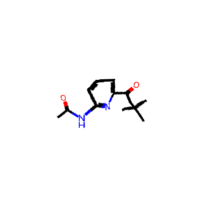 CC(=O)Nc1cccc(C(=O)C(C)(C)C)n1